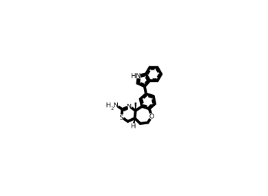 C[C@]12N=C(N)SC[C@H]1CCOc1ccc(-c3c[nH]c4ccccc34)cc12